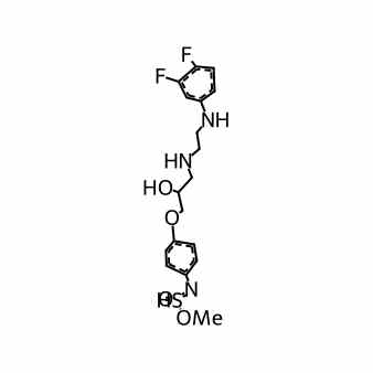 CO[SH](=O)=Nc1ccc(OCC(O)CNCCNc2ccc(F)c(F)c2)cc1